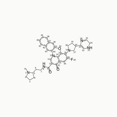 CN1CCCC1CCNC(=O)c1cn2c3c(c(N4CCC(C5=CNCC=N5)C4)c(F)cc3c1=O)Oc1cc3ccccc3cc1-2